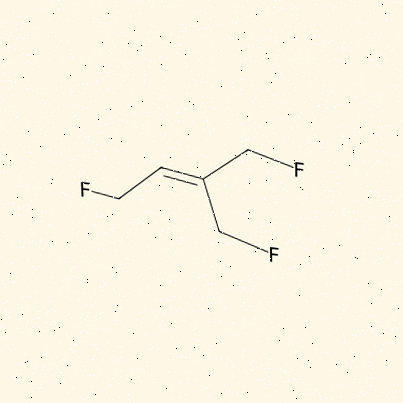 FCC=C(CF)CF